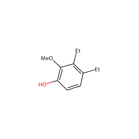 CCc1ccc(O)c(OC)c1CC